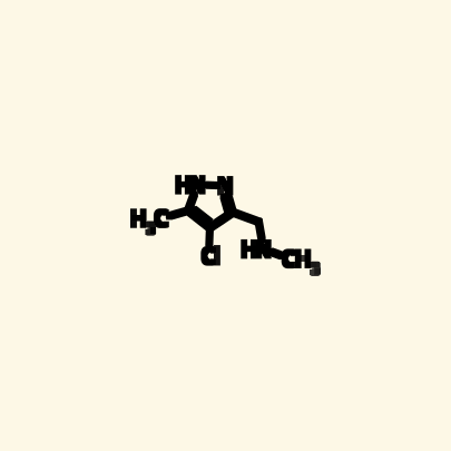 CNCc1n[nH]c(C)c1Cl